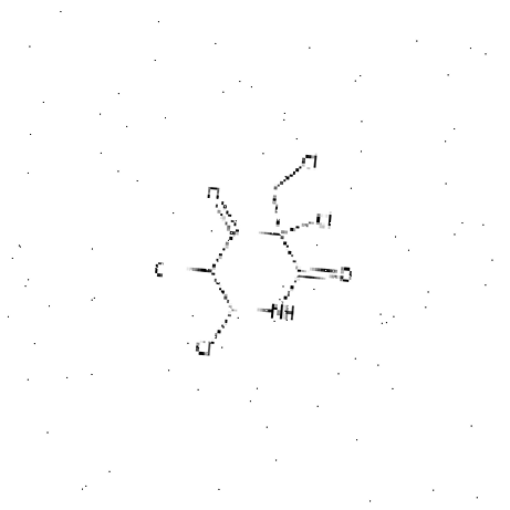 O=C1NC(Cl)C(Cl)C(=O)C1(Cl)CCl